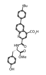 COC(=O)[C@H](Cc1ccc(O)cc1)NC(=O)c1cc(C(=O)O)c2cc(-c3ccc(C(C)(C)C)cc3)ccc2n1